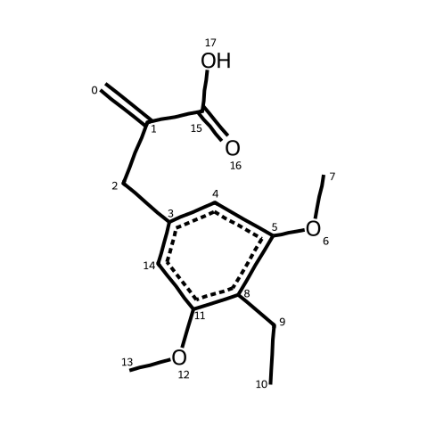 C=C(Cc1cc(OC)c(CC)c(OC)c1)C(=O)O